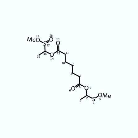 COSC(C)OC(=O)CCCCCC(=O)OC(C)S(=O)OC